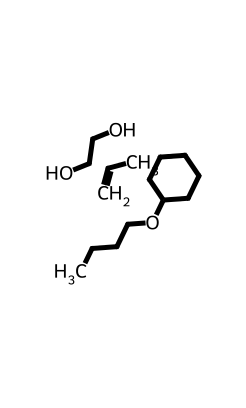 C=CC.CCCCOC1CCCCC1.OCCO